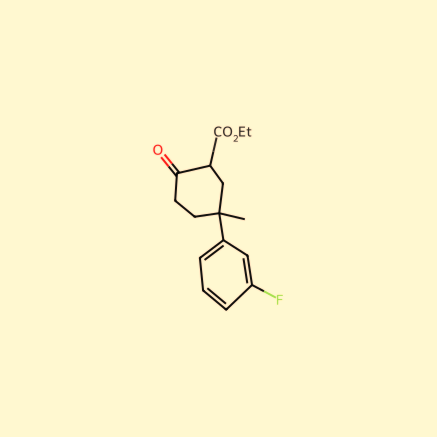 CCOC(=O)C1CC(C)(c2cccc(F)c2)CCC1=O